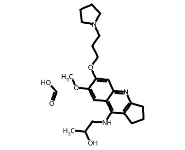 COc1cc2c(NCC(C)O)c3c(nc2cc1OCCCN1CCCC1)CCC3.O=CO